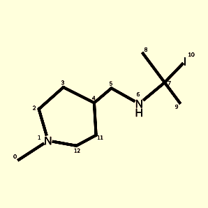 CN1CCC(CNC(C)(C)I)CC1